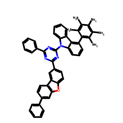 Bc1c(B)c(B)c(-c2cccc3c2c2ccccc2n3-c2nc(-c3ccccc3)nc(-c3ccc4oc5cc(-c6ccccc6)ccc5c4c3)n2)c(B)c1B